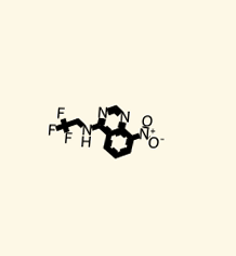 O=[N+]([O-])c1cccc2c(NCC(F)(F)F)ncnc12